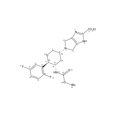 CCOC(=O)c1nc2c([nH]1)CN([C@H]1CO[C@H](c3cc(F)ccc3F)[C@@H](NC(=O)OC(C)(C)C)C1)C2